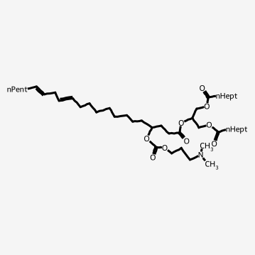 CCCCCC=CCC=CCCCCCCCCC(CCC(=O)OC(COC(=O)CCCCCCC)COC(=O)CCCCCCC)OC(=O)OCCCN(C)C